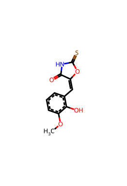 COc1cccc(C=C2OC(=S)NC2=O)c1O